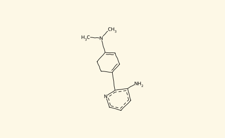 CN(C)C1=CC=C(c2ncccc2N)CC1